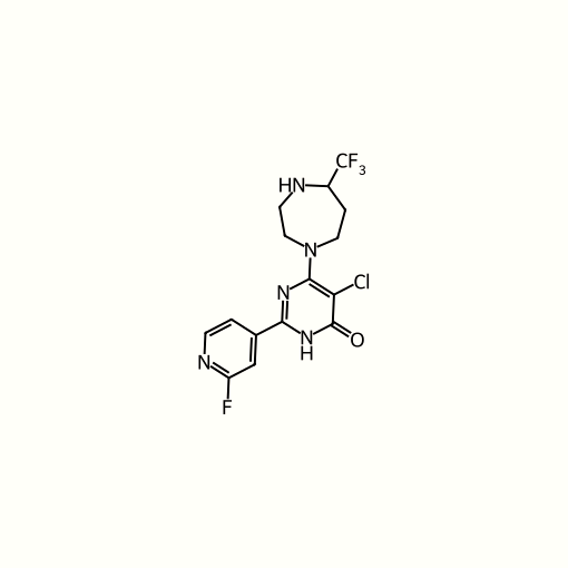 O=c1[nH]c(-c2ccnc(F)c2)nc(N2CCNC(C(F)(F)F)CC2)c1Cl